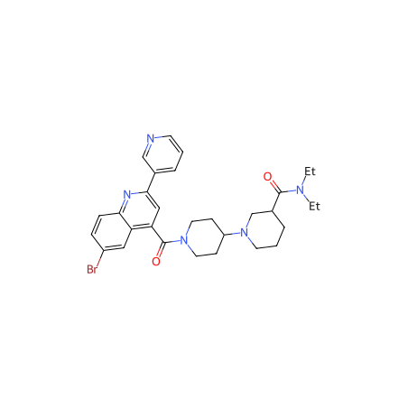 CCN(CC)C(=O)C1CCCN(C2CCN(C(=O)c3cc(-c4cccnc4)nc4ccc(Br)cc34)CC2)C1